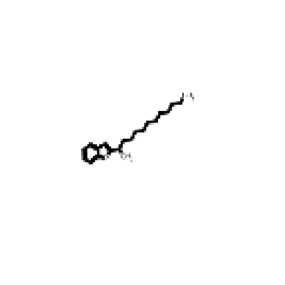 CCCCCCCCCCCC(C)C1=Cc2ccccc2[P]1